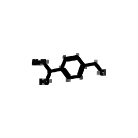 CNC(O)c1ccc(CCl)cc1